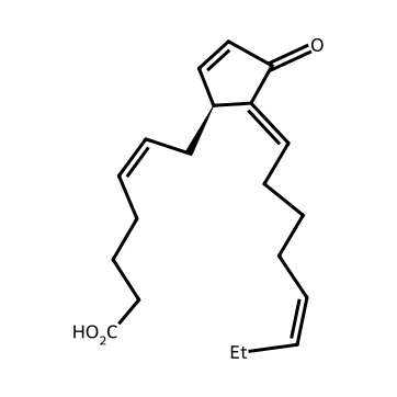 CC/C=C\CCC/C=C1/C(=O)C=C[C@@H]1C/C=C\CCCC(=O)O